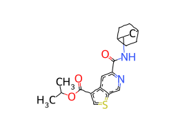 CC(C)OC(=O)c1csc2cnc(C(=O)NC3CC4CCC3CC4)cc12